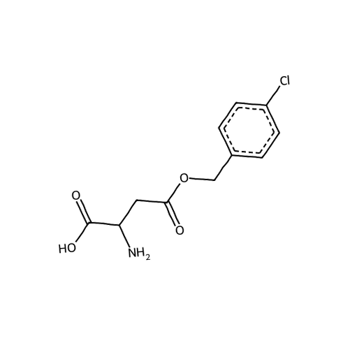 NC(CC(=O)OCc1ccc(Cl)cc1)C(=O)O